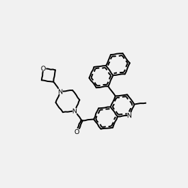 Cc1cc(-c2cccc3ccccc23)c2cc(C(=O)N3CCN(C4COC4)CC3)ccc2n1